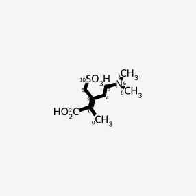 CC(C(=O)O)=C(CCN(C)C)CS(=O)(=O)O